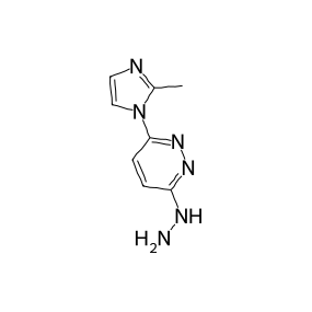 Cc1nccn1-c1ccc(NN)nn1